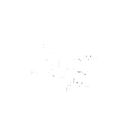 CCOC(=O)Oc1c(-c2ccc(F)cc2)c(COC)c(=O)n(C)c1C(C)C